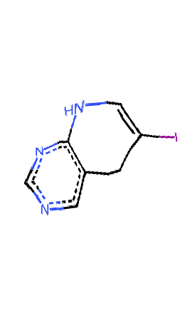 IC1=CNc2ncncc2C1